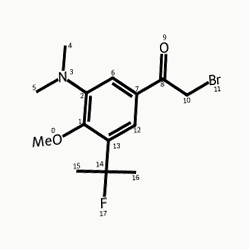 COc1c(N(C)C)cc(C(=O)CBr)cc1C(C)(C)F